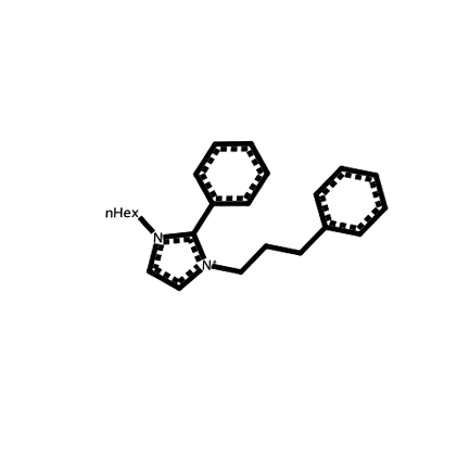 CCCCCCn1cc[n+](CCCc2ccccc2)c1-c1ccccc1